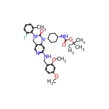 COc1ccc(CNc2cc3c(cn2)CN(c2c(C)cccc2F)C(=O)N3[C@H]2CC[C@H](NC(=O)OC(C)(C)C)CC2)c(OC)c1